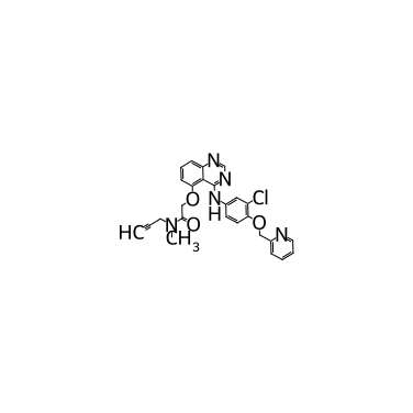 C#CCN(C)C(=O)COc1cccc2ncnc(Nc3ccc(OCc4ccccn4)c(Cl)c3)c12